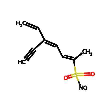 C#C/C(C=C)=C\C=C(/C)S(=O)(=O)N=O